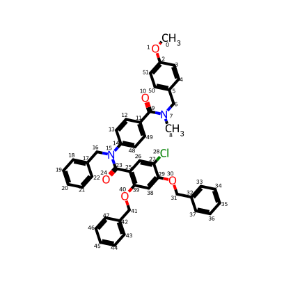 COc1ccc(CN(C)C(=O)c2ccc(N(Cc3ccccc3)C(=O)c3cc(Cl)c(OCc4ccccc4)cc3OCc3ccccc3)cc2)cc1